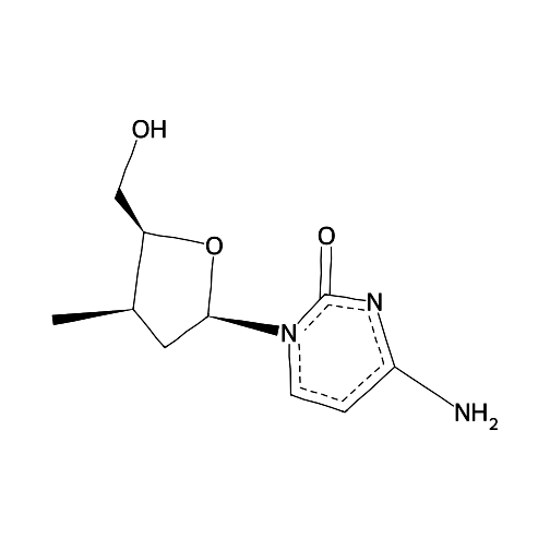 C[C@@H]1C[C@H](n2ccc(N)nc2=O)O[C@@H]1CO